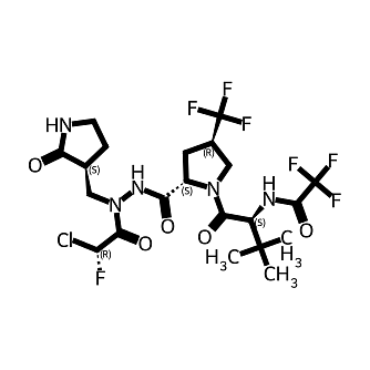 CC(C)(C)[C@H](NC(=O)C(F)(F)F)C(=O)N1C[C@H](C(F)(F)F)C[C@H]1C(=O)NN(C[C@@H]1CCNC1=O)C(=O)[C@H](F)Cl